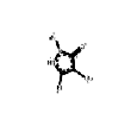 CCCn1[nH]c(CC)c(C(C)(C)C)c1=O